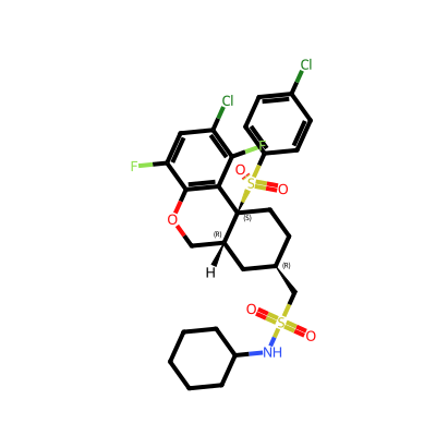 O=S(=O)(C[C@@H]1CC[C@@]2(S(=O)(=O)c3ccc(Cl)cc3)c3c(F)c(Cl)cc(F)c3OC[C@H]2C1)NC1CCCCC1